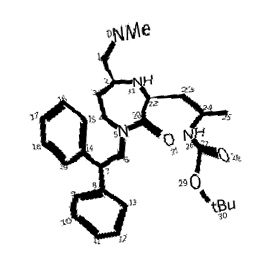 CNC[C@@H]1CCN(CC(c2ccccc2)c2ccccc2)C(=O)[C@H](CC(C)NC(=O)OC(C)(C)C)N1